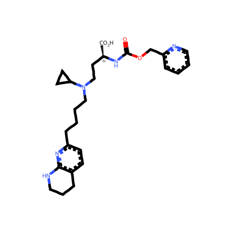 O=C(N[C@@H](CCN(CCCCc1ccc2c(n1)NCCC2)C1CC1)C(=O)O)OCc1ccccn1